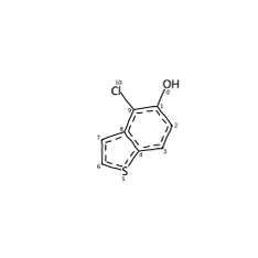 Oc1ccc2sccc2c1Cl